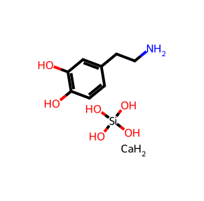 NCCc1ccc(O)c(O)c1.O[Si](O)(O)O.[CaH2]